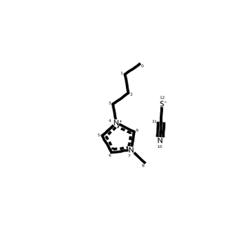 CCCC[n+]1ccn(C)c1.N#C[S-]